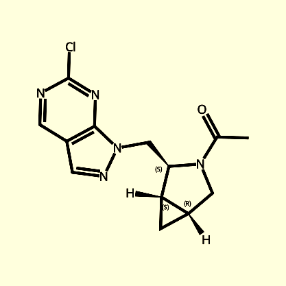 CC(=O)N1C[C@@H]2C[C@@H]2[C@H]1Cn1ncc2cnc(Cl)nc21